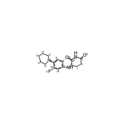 O=C1CCC(Nc2ccc(N3CCCCC3)c(F)c2)C(=O)N1